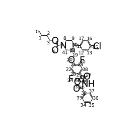 CCCCOC(=O)N1CC[C@@H](c2ccc(Cl)cc2)[C@H](COc2cc(F)c(S(=O)(=O)NC(=O)c3ccccc3)cc2F)C1